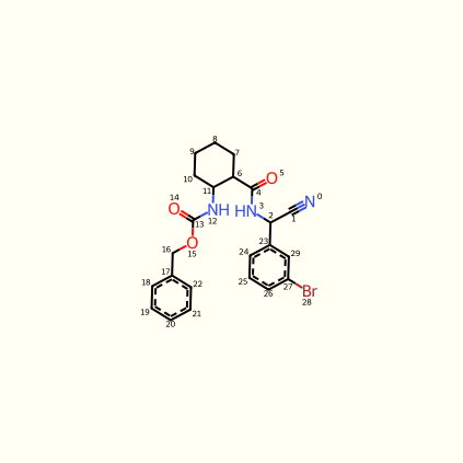 N#CC(NC(=O)C1CCCCC1NC(=O)OCc1ccccc1)c1cccc(Br)c1